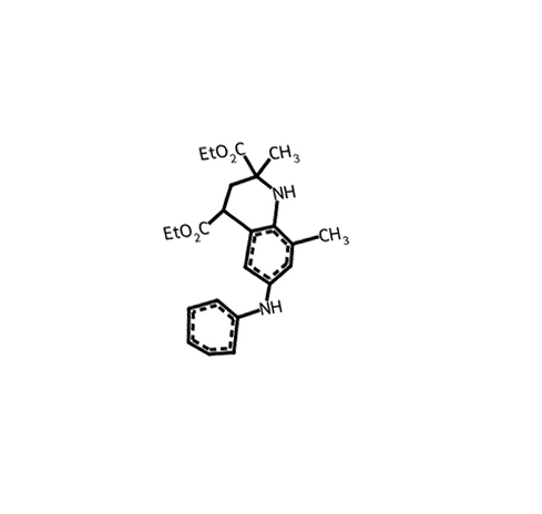 CCOC(=O)C1CC(C)(C(=O)OCC)Nc2c(C)cc(Nc3ccccc3)cc21